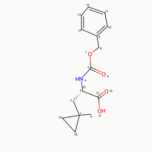 CC1(C[C@H](NC(=O)OCc2ccccc2)C(=O)O)CC1